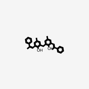 CC(=Cc1cc(C)cc(Cc2cc(C)cc(C=C(C)c3ccccc3)c2O)c1O)c1ccccc1